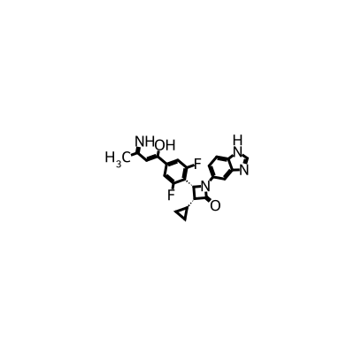 CC(=N)/C=C(\O)c1cc(F)c([C@H]2[C@@H](C3CC3)C(=O)N2c2ccc3[nH]cnc3c2)c(F)c1